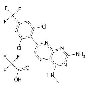 CNc1nc(N)nc2nc(-c3c(Cl)cc(C(F)(F)F)cc3Cl)ccc12.O=C(O)C(F)(F)F